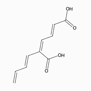 C=CC=CC(=CC=CC(=O)O)C(=O)O